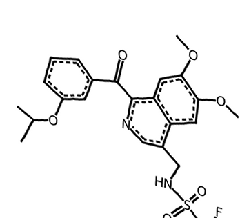 COc1cc2c(CNS(=O)(=O)C(F)(F)F)cnc(C(=O)c3cccc(OC(C)C)c3)c2cc1OC